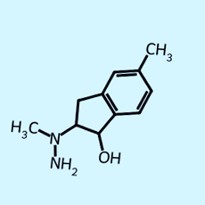 Cc1ccc2c(c1)CC(N(C)N)C2O